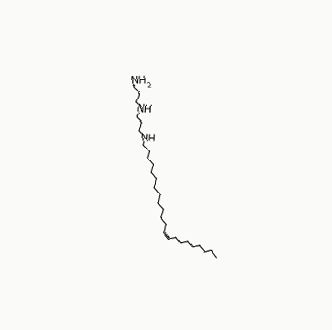 CCCCCCCC/C=C\CCCCCCCCCCCCNCCCNCCCN